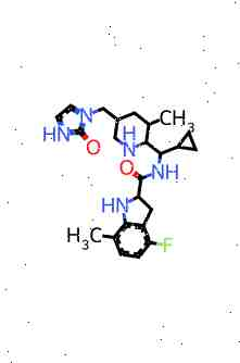 Cc1ccc(F)c2c1NC(C(=O)NC(C1CC1)C1NCC(Cn3cc[nH]c3=O)CC1C)C2